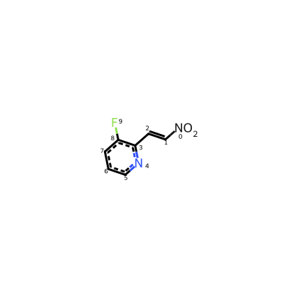 O=[N+]([O-])C=Cc1ncccc1F